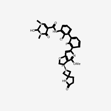 COc1nc(-c2cccc(-c3cccc(NC(=O)C4=CN(C)C(O)N(C)C4=O)c3Cl)c2F)cc2c1[C@@H](N1CC3(CCC(=O)N3)C1)CO2